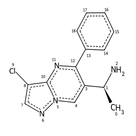 C[C@H](N)c1cn2ncc(Cl)c2nc1-c1ccccc1